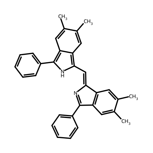 Cc1cc2c(cc1C)/C(=C/c1[nH]c(-c3ccccc3)c3cc(C)c(C)cc13)N=C2c1ccccc1